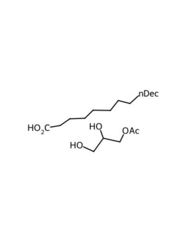 CC(=O)OCC(O)CO.CCCCCCCCCCCCCCCCCC(=O)O